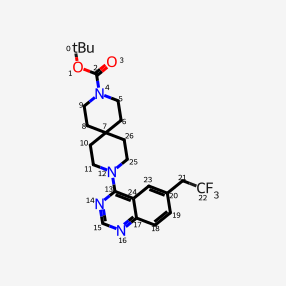 CC(C)(C)OC(=O)N1CCC2(CC1)CCN(c1ncnc3ccc(CC(F)(F)F)cc13)CC2